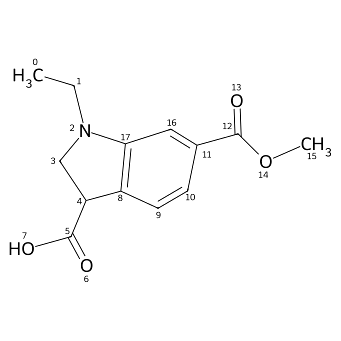 CCN1CC(C(=O)O)c2ccc(C(=O)OC)cc21